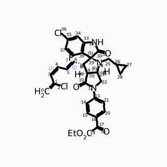 C=C(Cl)/C=C\C=C(/F)[C@H]1[C@@H]2C(=O)N(c3ccc(C(=O)C(=O)OCC)cc3)C[C@@H]2N(CC2CC2)[C@@]12C(=O)Nc1cc(Cl)ccc12